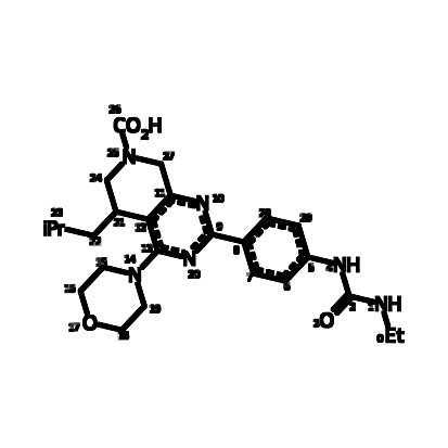 CCNC(=O)Nc1ccc(-c2nc3c(c(N4CCOCC4)n2)C(CC(C)C)CN(C(=O)O)C3)cc1